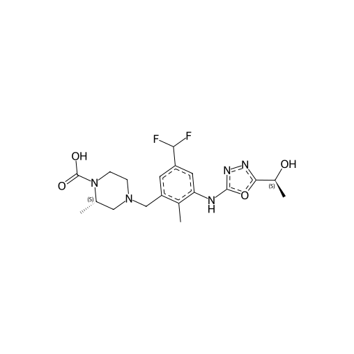 Cc1c(CN2CCN(C(=O)O)[C@@H](C)C2)cc(C(F)F)cc1Nc1nnc([C@H](C)O)o1